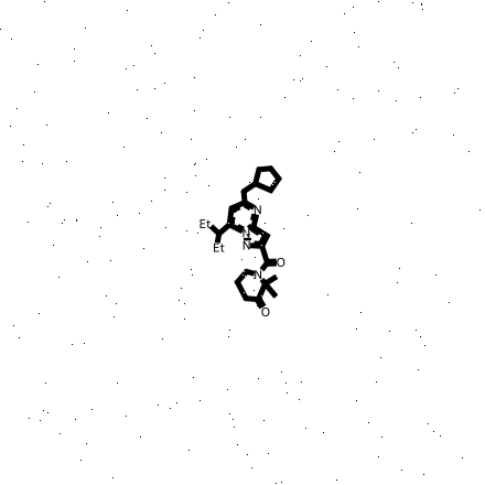 CCC(CC)c1cc(CC2CCCC2)nc2cc(C(=O)N3CCCC(=O)C3(C)C)nn12